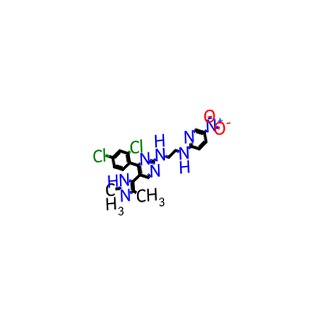 Cc1nc(C)c(-c2cnc(NCCNc3ccc([N+](=O)[O-])cn3)nc2-c2ccc(Cl)cc2Cl)[nH]1